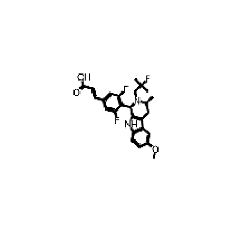 COc1ccc2[nH]c3c(c2c1)CC(C)N(CC(C)(C)F)C3c1c(F)cc(/C=C/C(=O)O)cc1F